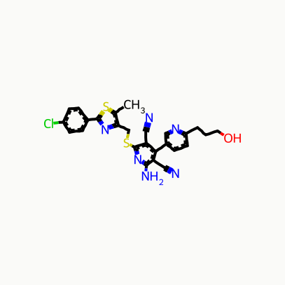 Cc1sc(-c2ccc(Cl)cc2)nc1CSc1nc(N)c(C#N)c(-c2ccc(CCCO)nc2)c1C#N